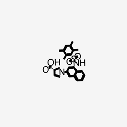 Cc1cc(C)c(C)c(S(=O)(=O)Nc2cc(N3CC[C@H](C(=O)O)C3)cc3ccccc23)c1C